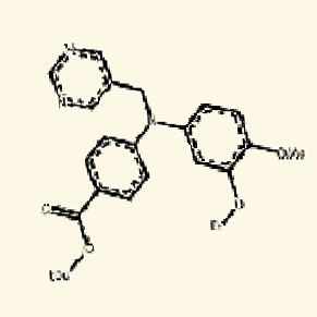 CCOc1cc(N(Cc2cncnc2)c2ccc(C(=O)OC(C)(C)C)cc2)ccc1OC